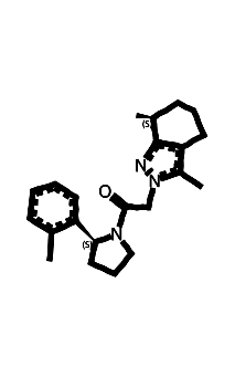 Cc1ccccc1[C@@H]1CCCN1C(=O)Cn1nc2c(c1C)CCC[C@@H]2C